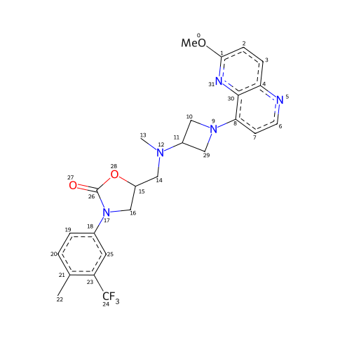 COc1ccc2nccc(N3CC(N(C)CC4CN(c5ccc(C)c(C(F)(F)F)c5)C(=O)O4)C3)c2n1